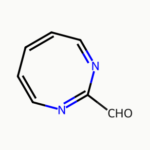 O=CC1=NC=CC=CC=N1